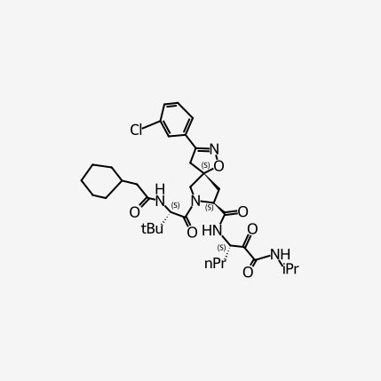 CCC[C@H](NC(=O)[C@@H]1C[C@]2(CC(c3cccc(Cl)c3)=NO2)CN1C(=O)[C@@H](NC(=O)CC1CCCCC1)C(C)(C)C)C(=O)C(=O)NC(C)C